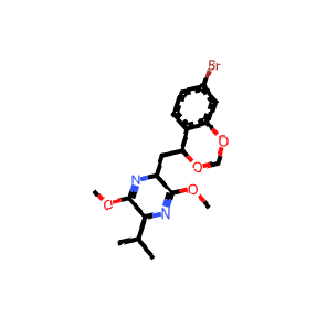 COC1=NC(C(C)C)C(OC)=NC1CC1OCOc2cc(Br)ccc21